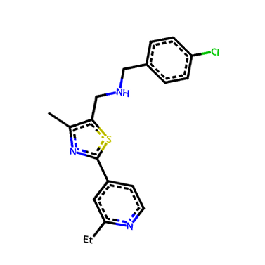 CCc1cc(-c2nc(C)c(CNCc3ccc(Cl)cc3)s2)ccn1